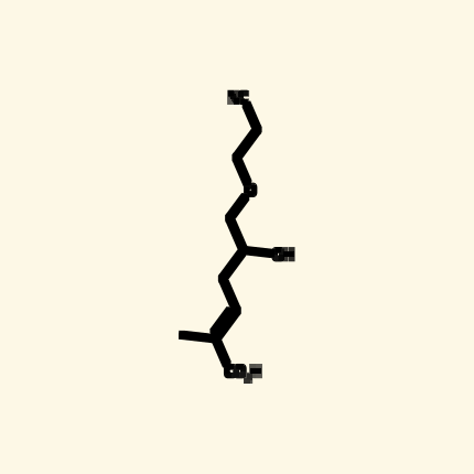 CC(=CCC(O)COCCC#N)C(=O)O